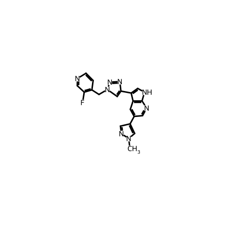 Cn1cc(-c2cnc3[nH]cc(-c4cn(Cc5ccncc5F)nn4)c3c2)cn1